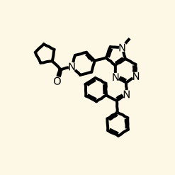 Cn1cc(C2=CCN(C(=O)C3CCCC3)CC2)c2nc(N=C(c3ccccc3)c3ccccc3)ncc21